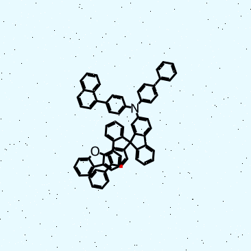 c1ccc(-c2ccc(N(c3ccc(-c4cccc5ccccc45)cc3)c3ccc4c(c3)C(c3ccc(-c5ccccc5)cc3)(c3ccccc3-c3cccc5c3oc3ccccc35)c3ccccc3-4)cc2)cc1